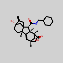 C=C1C[C@]23C[C@@]1(O)CC[C@H]2C1=C[C@H]2CC(=O)[C@@](C)([C@H]1[C@@H]3C(=O)NCC1CCCCC1)[C@H]2O